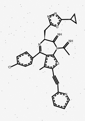 CC(=N)N1C(=N)[C@H](Cc2nnc(C3CC3)o2)N=C(c2ccc(Cl)cc2)c2c1sc(C#Cc1ccccn1)c2C